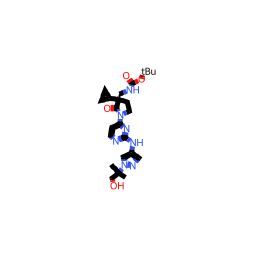 CC(C)(C)OC(=O)NC[C@@]1(C2CC2)CCN(c2ccnc(Nc3cnn(C(C)(C)CO)c3)n2)C1=O